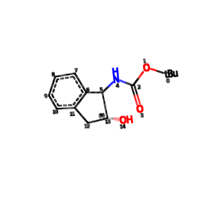 CC(C)(C)OC(=O)NC1c2ccccc2C[C@H]1O